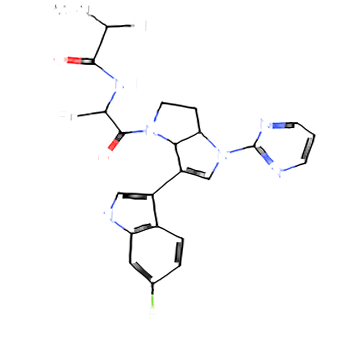 CCC(NC(=O)C(C)NC)C(=O)N1CCC2C1C(c1c[nH]c3cc(F)ccc13)=CN2c1ncccn1